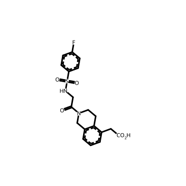 O=C(O)Cc1cccc2c1CCN(C(=O)CNS(=O)(=O)c1ccc(F)cc1)C2